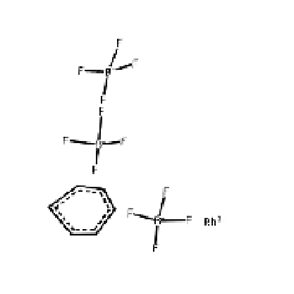 F[B-](F)(F)F.F[B-](F)(F)F.F[B-](F)(F)F.[Rh+3].c1ccccc1